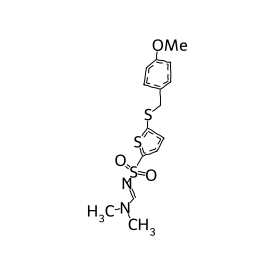 COc1ccc(CSc2ccc(S(=O)(=O)/N=C/N(C)C)s2)cc1